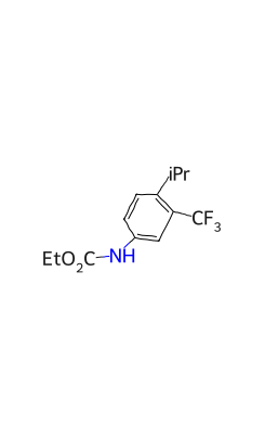 CCOC(=O)Nc1ccc(C(C)C)c(C(F)(F)F)c1